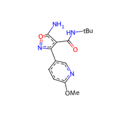 COc1ccc(-c2noc(N)c2C(=O)NC(C)(C)C)cn1